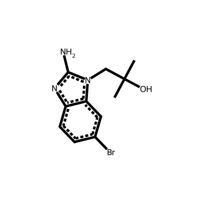 CC(C)(O)Cn1c(N)nc2ccc(Br)cc21